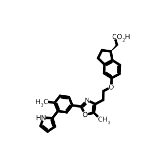 Cc1ccc(-c2nc(CCOc3ccc4c(c3)CC[C@H]4CC(=O)O)c(C)o2)cc1-c1ccc[nH]1